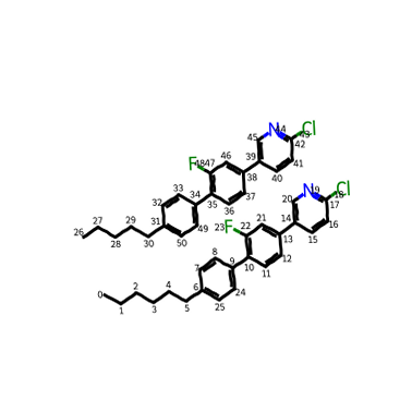 CCCCCCc1ccc(-c2ccc(-c3ccc(Cl)nc3)cc2F)cc1.CCCCCc1ccc(-c2ccc(-c3ccc(Cl)nc3)cc2F)cc1